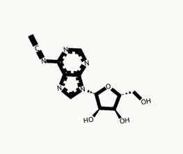 C=C=Nc1ncnc2c1ncn2[C@@H]1O[C@H](CO)[C@@H](O)[C@H]1O